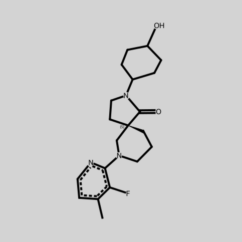 Cc1ccnc(N2CCC[C@]3(CCN(C4CCC(O)CC4)C3=O)C2)c1F